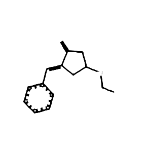 CCNC1CC(=O)C(=Cc2ccccc2)C1